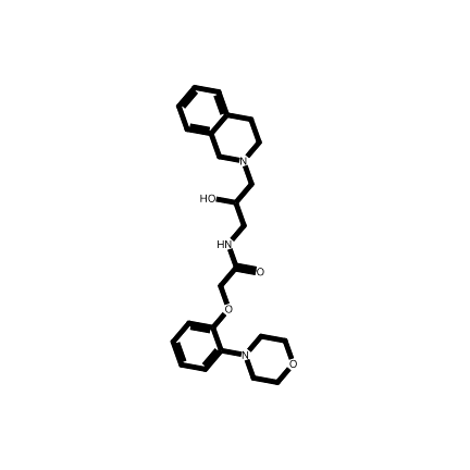 O=C(COc1ccccc1N1CCOCC1)NCC(O)CN1CCc2ccccc2C1